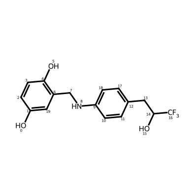 Oc1ccc(O)c(CNc2ccc(CC(O)C(F)(F)F)cc2)c1